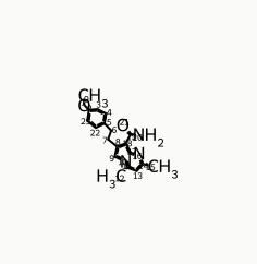 COc1ccc(CCc2cn3c(C)cc(C)nc3c2C(N)=O)cc1